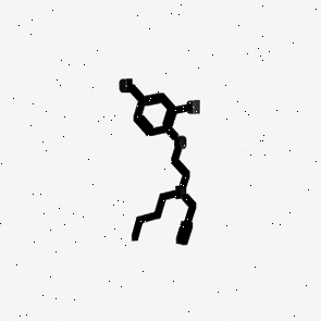 C#CCN(CCCC)CCOc1ccc(Cl)cc1Cl